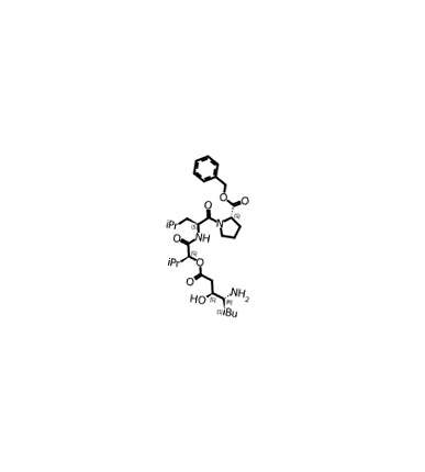 CC[C@H](C)[C@@H](N)[C@@H](O)CC(=O)O[C@H](C(=O)N[C@@H](CC(C)C)C(=O)N1CCC[C@H]1C(=O)OCc1ccccc1)C(C)C